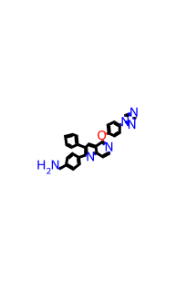 NCc1ccc(-c2nc3ccnc(Oc4ccc(-n5cncn5)cc4)c3cc2-c2ccccc2)cc1